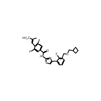 CC(=Cc1c(F)cc(C(=O)Nc2nc(-c3cccc(COCC4CCC4)c3F)cs2)cc1F)C(=O)O